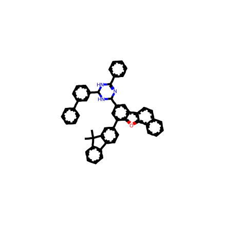 CC1(C)c2ccccc2-c2ccc(-c3cc(C4N=C(c5ccccc5)NC(c5cccc(-c6ccccc6)c5)N4)cc4c3oc3c5ccccc5ccc43)cc21